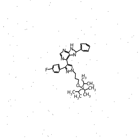 CC(C)[Si](OCCCn1cc(-c2ncnc3[nH]c(-c4ccccc4)nc23)c(-c2ccc(F)cc2)n1)(C(C)C)C(C)C